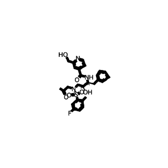 CC(=O)CN(C[C@@H](O)[C@H](Cc1ccccc1)NC(=O)c1ccnc(CO)c1)S(=O)(=O)c1cc(F)ccc1C